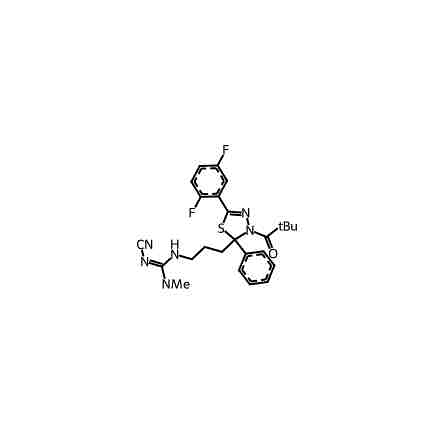 CN/C(=N/C#N)NCCCC1(c2ccccc2)SC(c2cc(F)ccc2F)=NN1C(=O)C(C)(C)C